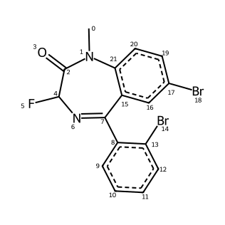 CN1C(=O)C(F)N=C(c2ccccc2Br)c2cc(Br)ccc21